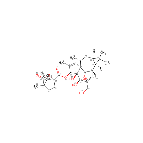 CC1=C[C@]23C(O)[C@@H](C=C(CO)[C@@H](O)[C@]2(O)[C@H]1OC(=O)C12CCC(C)(C(=O)O1)C2(C)C)[C@H]1[C@@H](C[C@H]3C)C1(C)C